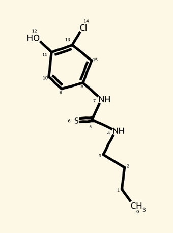 CCCCNC(=S)Nc1ccc(O)c(Cl)c1